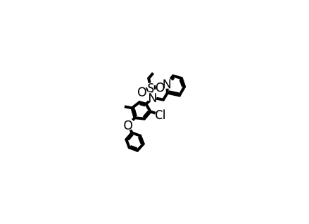 CCS(=O)(=O)N(Cc1ccccn1)c1cc(C)c(Oc2ccccc2)cc1Cl